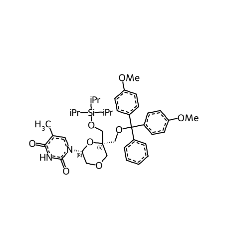 COc1ccc(C(OC[C@]2(CO[Si](C(C)C)(C(C)C)C(C)C)COC[C@H](n3cc(C)c(=O)[nH]c3=O)O2)(c2ccccc2)c2ccc(OC)cc2)cc1